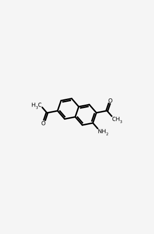 CC(=O)c1ccc2cc(C(C)=O)c(N)cc2c1